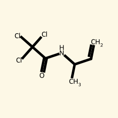 C=CC(C)NC(=O)C(Cl)(Cl)Cl